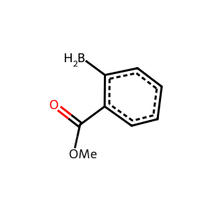 Bc1ccccc1C(=O)OC